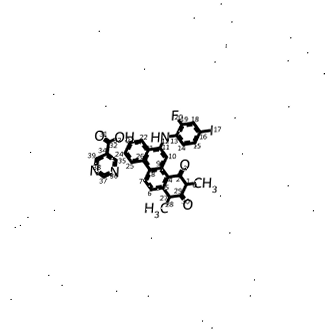 CC1C(=O)c2c(ccc3c2cc(Nc2ccc(I)cc2F)c2ccccc23)C(C)C1=O.O=C(O)c1cncnc1